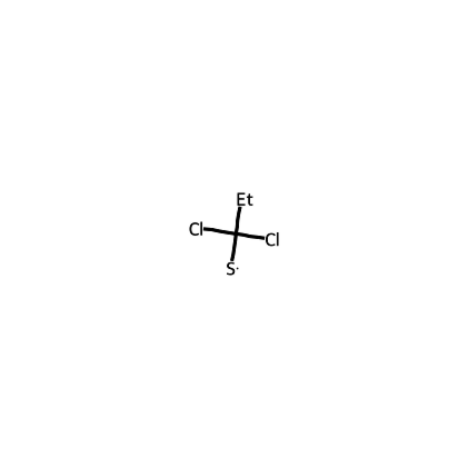 CCC([S])(Cl)Cl